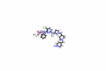 CP(C)(=O)c1ccccc1Nc1nc(NC2CCN(CC3CCN(CC4CCNCC4)CC3)C2)ncc1Cl